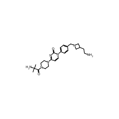 CC(C)(N)C(=O)N1CCN(c2ccn(-c3ccc(CN4CC(CCN)C4)cc3)c(=O)n2)CC1